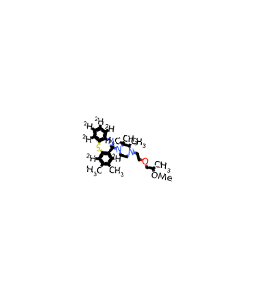 [2H]c1c([2H])c([2H])c2c(c1[2H])N=C(N1CCN(CCOCC(C)OC)C(C)C1(C)C)c1c([2H])c(C)c(C)c([2H])c1S2